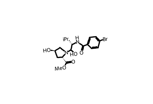 COC(=O)[C@@H]1C[C@@H](O)CN1C(O)[C@@H](NC(=O)c1ccc(Br)cc1)C(C)C